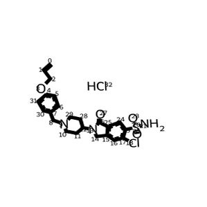 C=CCOc1ccc(CN2CCC(N3Cc4cc(Cl)c(S(N)(=O)=O)cc4C3=O)CC2)cc1.Cl